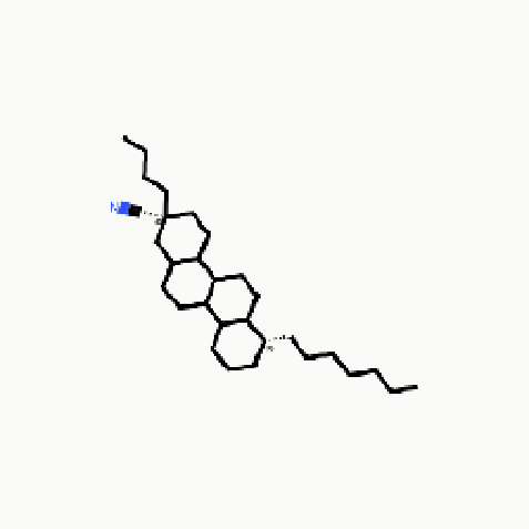 CCCCCCC[C@@H]1CCCC2C3CCC4C[C@@](C#N)(CCCC)CCC4C3CCC21